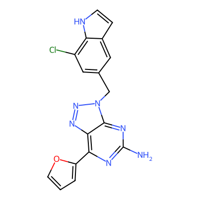 Nc1nc(-c2ccco2)c2nnn(Cc3cc(Cl)c4[nH]ccc4c3)c2n1